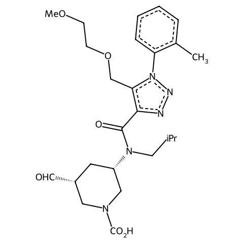 COCCOCc1c(C(=O)N(CC(C)C)[C@H]2C[C@@H](C=O)CN(C(=O)O)C2)nnn1-c1ccccc1C